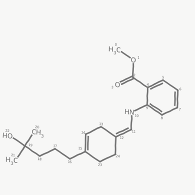 COC(=O)c1ccccc1NC=C1CC=C(CCCC(C)(C)O)CC1